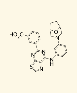 O=C(O)c1cccc(-c2nc(Nc3cccc(N4CC5CCC(C4)O5)c3)c3ncsc3n2)c1